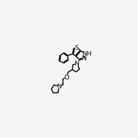 c1ccc(-c2csc3[nH]nc(N4CCC(COCCN5CCCC5)C4)c23)cc1